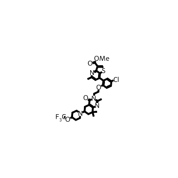 COC(=O)c1csc2c(-c3cc(Cl)ccc3OCCn3c(C)nc4c(c3=O)CC(N3CCC(OC(F)(F)F)CC3)CC4(C)C)cc(C)nc12